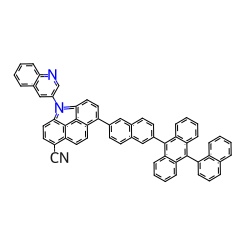 N#Cc1ccc2c3c1ccc1c(-c4ccc5cc(-c6c7ccccc7c(-c7cccc8ccccc78)c7ccccc67)ccc5c4)ccc(c13)n2-c1cnc2ccccc2c1